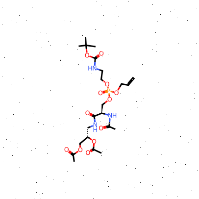 C=CCOP(=O)(OCCNC(=O)OC(C)(C)C)OC[C@@H](NC(C)=O)C(=O)NC[C@@H](COC(C)=O)OC(C)=O